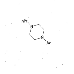 [CH2]C(=O)N1CCN(CCC)CC1